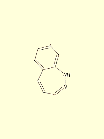 [c]1ccc2c(c1)NN=CC=C2